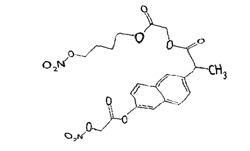 CC(C(=O)OCC(=O)OCCCCO[N+](=O)[O-])c1ccc2cc(OC(=O)CO[N+](=O)[O-])ccc2c1